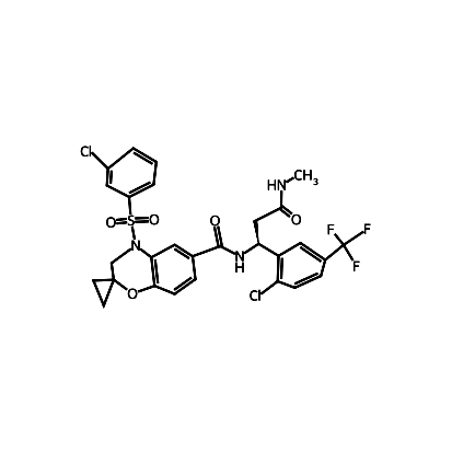 CNC(=O)C[C@H](NC(=O)c1ccc2c(c1)N(S(=O)(=O)c1cccc(Cl)c1)CC1(CC1)O2)c1cc(C(F)(F)F)ccc1Cl